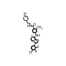 Cc1cc(Nc2nccn3c(-c4ccc(Cl)c(F)c4F)cnc23)ccc1C(=O)NCCC1CCNCC1